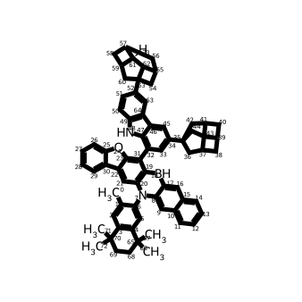 Cc1cc2c(cc1N1c3cc4ccccc4cc3Bc3c1cc1c(oc4ccccc41)c3-c1cc(C34CC5CC6CC(C3)C65C4)cc3c1[nH]c1ccc(C45CC6CC7CC(C4)[C@@H]7C65)cc13)C(C)(C)CCC2(C)C